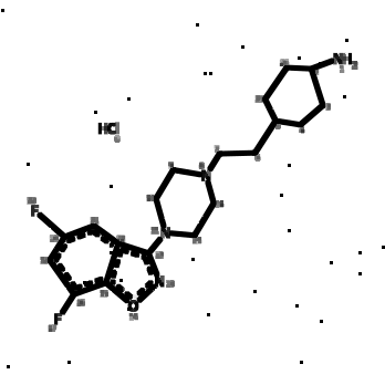 Cl.NC1CCC(CCN2CCN(c3noc4c(F)cc(F)cc34)CC2)CC1